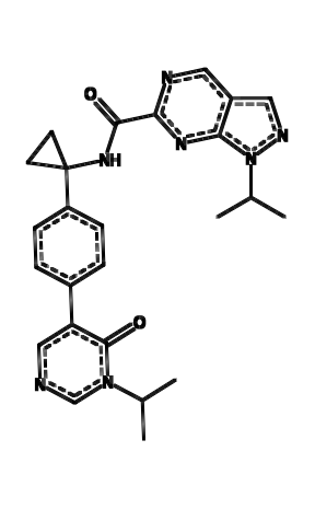 CC(C)n1cncc(-c2ccc(C3(NC(=O)c4ncc5cnn(C(C)C)c5n4)CC3)cc2)c1=O